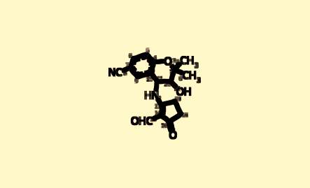 CC1(C)Oc2ccc(C#N)cc2C(NC2=C(C=O)C(=O)CC2)C1O